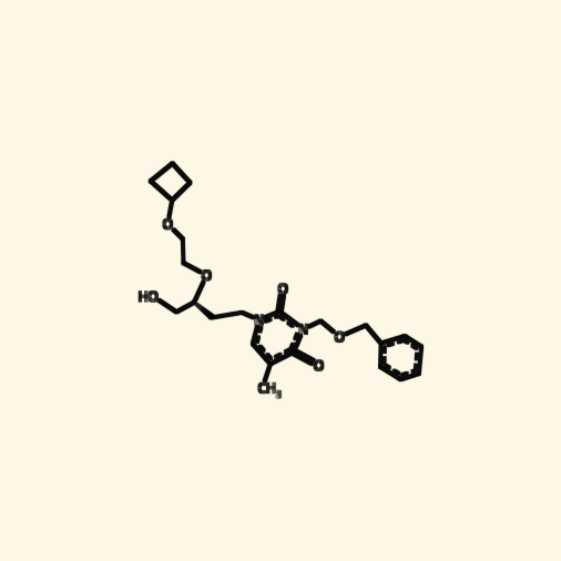 Cc1cn(CC[C@@H](CO)OCCOC2CCC2)c(=O)n(COCc2ccccc2)c1=O